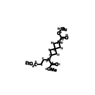 CCOC(=O)CCN(C(=O)OC)C1CC2(C1)CN(C(=O)OC(C)(C)C)C2